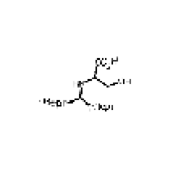 CCCCCCCC(CCCCCCC)NC(CO)C(=O)O